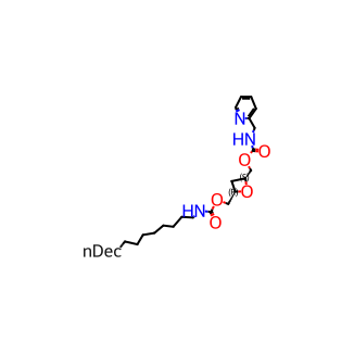 CCCCCCCCCCCCCCCCCCNC(=O)OC[C@H]1C[C@@H](COC(=O)NCc2ccccn2)O1